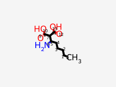 CCCCCC(N)C(C(=O)O)C(=O)O